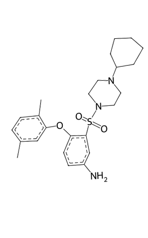 Cc1ccc(C)c(Oc2ccc(N)cc2S(=O)(=O)N2CCN(C3CCCCC3)CC2)c1